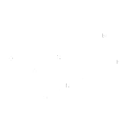 O=COC1N=c2cc(Br)c(F)cc2=NC1=O